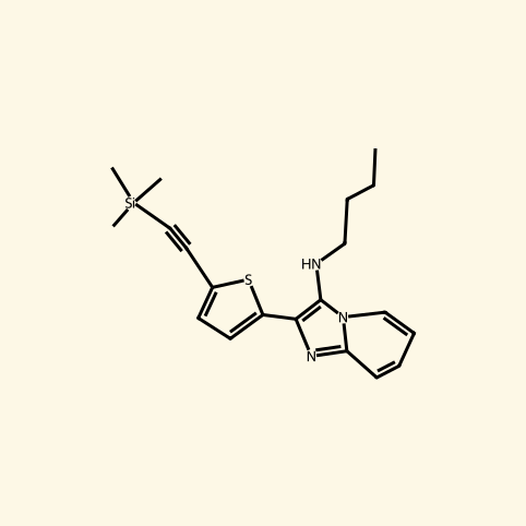 CCCCNc1c(-c2ccc(C#C[Si](C)(C)C)s2)nc2ccccn12